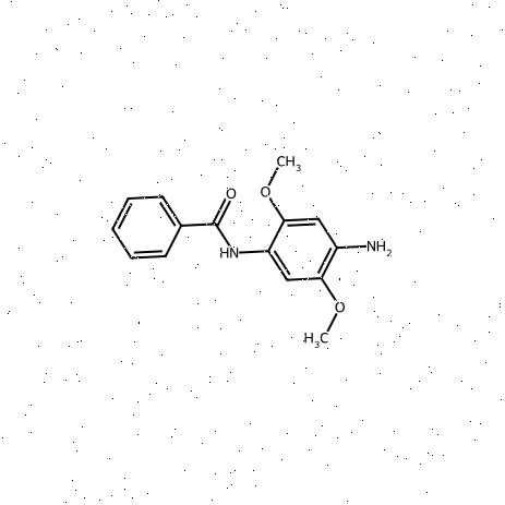 COc1cc(NC(=O)c2ccccc2)c(OC)cc1N